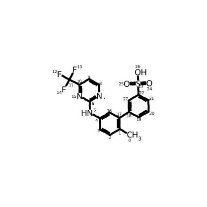 Cc1ccc(Nc2nccc(C(F)(F)F)n2)cc1-c1cccc(S(=O)(=O)O)c1